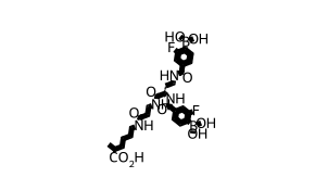 C[C@@H](CCCCNC(=O)CCNC(=O)[C@H](CCNC(=O)c1ccc(B(O)O)c(F)c1)NC(=O)c1ccc(B(O)O)c(F)c1)C(=O)O